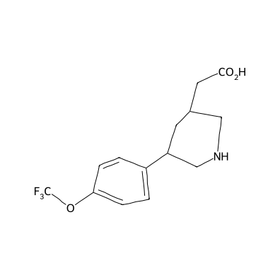 O=C(O)CC1CNCC(c2ccc(OC(F)(F)F)cc2)C1